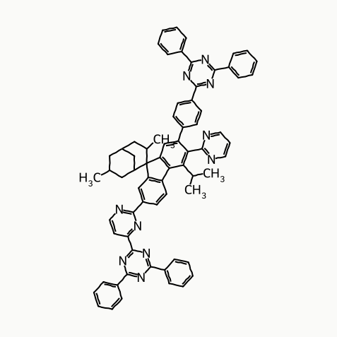 CC1CC2CC(C)C3(c4cc(-c5nccc(-c6nc(-c7ccccc7)nc(-c7ccccc7)n6)n5)ccc4-c4c3cc(-c3ccc(-c5nc(-c6ccccc6)nc(-c6ccccc6)n5)cc3)c(-c3ncccn3)c4C(C)C)C(C1)C2